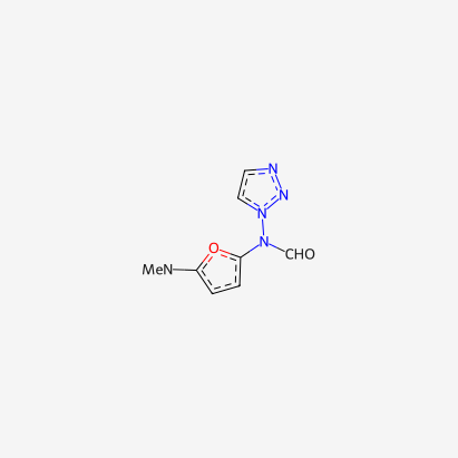 CNc1ccc(N(C=O)n2ccnn2)o1